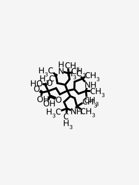 CC1(C)CC(C(CCC(C(=O)O)(C(=O)O)C(=O)O)(C2CC(C)(C)NC(C)(C)C2)C2CC(C)(C)NC(C)(C)C2)CC(C)(C)N1